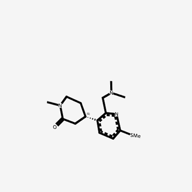 CSc1ccc([C@H]2CCN(C)C(=O)C2)c(CN(C)C)n1